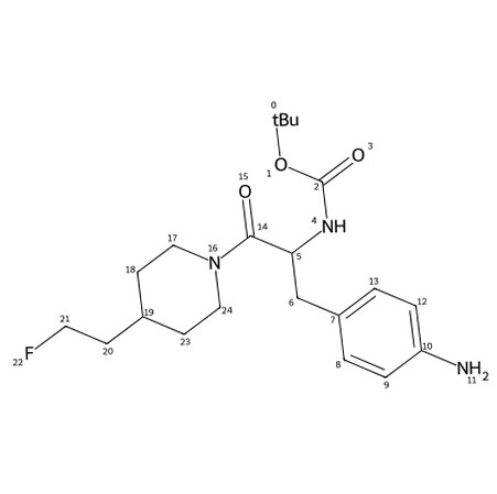 CC(C)(C)OC(=O)NC(Cc1ccc(N)cc1)C(=O)N1CCC(CCF)CC1